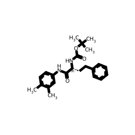 Cc1ccc(NC(=O)[C@@H](CCc2ccccc2)NC(=O)OC(C)(C)C)cc1C